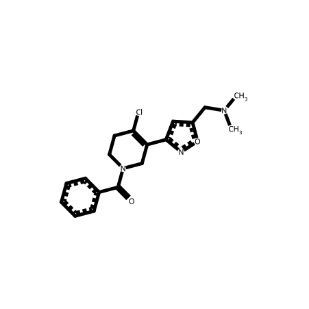 CN(C)Cc1cc(C2=C(Cl)CCN(C(=O)c3ccccc3)C2)no1